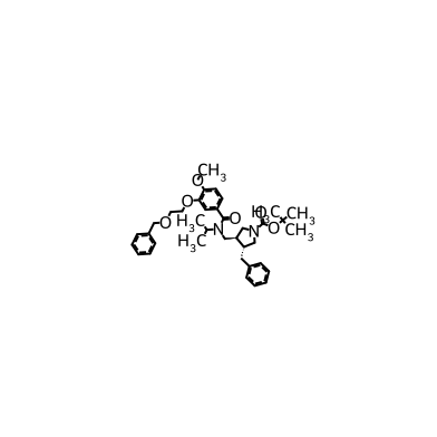 COc1ccc(C(=O)N(C[C@H]2CN(C(=O)OC(C)(C)C)C[C@@H]2Cc2ccccc2)C(C)C)cc1OCCOCc1ccccc1